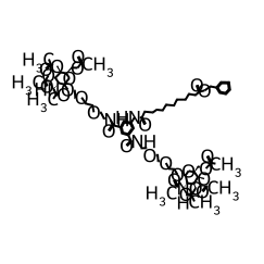 CC(=O)N[C@@H]1C(OCCOCCOCCNC(=O)c2cc(NC(=O)CCCCCCCCCCC(=O)OCc3ccccc3)cc(C(=O)NCCOCCOCCOC3O[C@H](COC(C)=O)[C@H](OC(C)=O)[C@H](OC(C)=O)[C@H]3NC(C)=O)c2)O[C@@H](COC(C)=O)[C@@H](OC(C)=O)[C@H]1OC(C)=O